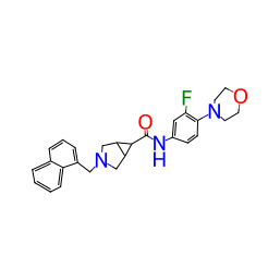 O=C(Nc1ccc(N2CCOCC2)c(F)c1)C1C2CN(Cc3cccc4ccccc34)CC21